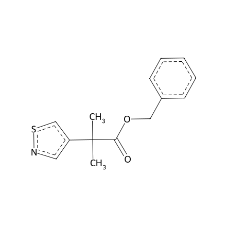 CC(C)(C(=O)OCc1ccccc1)c1cnsc1